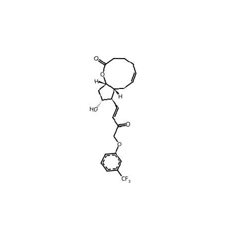 O=C(/C=C/[C@@H]1[C@H]2C/C=C\CCCC(=O)O[C@H]2C[C@H]1O)COc1cccc(C(F)(F)F)c1